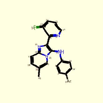 CC(=O)c1ccc(Nc2c(-c3ncccc3F)nc3ccc(C)cn23)cc1